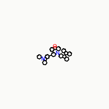 C1=CC2=C(CC1)C1(C3=C2C=CCC3)C2=C(CCCC2)C2CC=C(N(C3C=CC(c4ccc5c(c4)c4c(n5C5CC=CCC5)CCCC4)CC3)C3CC=CC4Oc5ccccc5C43)CC21